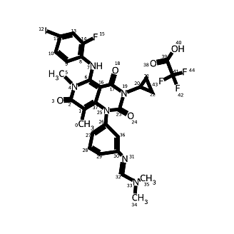 Cc1c(=O)n(C)c(Nc2ccc(I)cc2F)c2c(=O)n(C3CC3)c(=O)n(-c3cccc(/N=C/N(C)C)c3)c12.O=C(O)C(F)(F)F